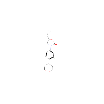 CC(=O)NCC1CN(c2ccc(C3CCOCC3)c(F)c2)C(=O)O1